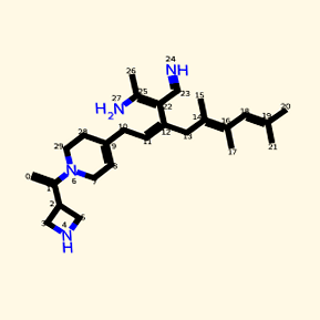 C=C(C1CNC1)N1CC=C(C/C=C(C/C(C)=C(\C)C=C(C)C)\C(C=N)=C(\C)N)CC1